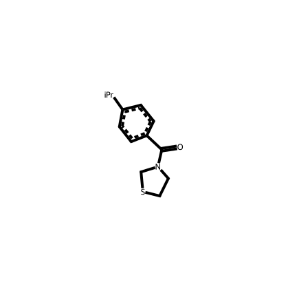 CC(C)c1ccc(C(=O)N2CCSC2)cc1